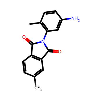 Cc1ccc(N)cc1N1C(=O)c2ccc(C(F)(F)F)cc2C1=O